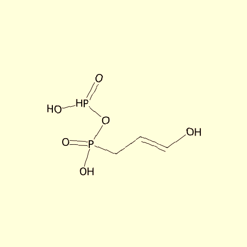 O=[PH](O)OP(=O)(O)CC=CO